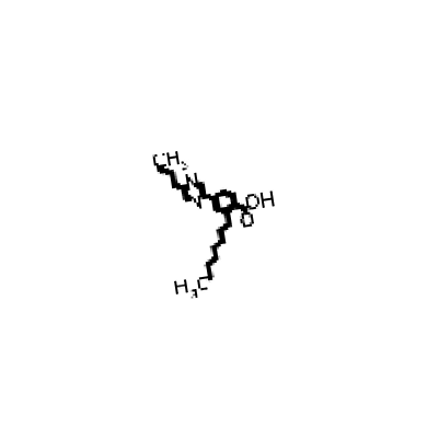 CCCCCCCCc1cc(-c2cnc(CCCC)cn2)ccc1C(=O)O